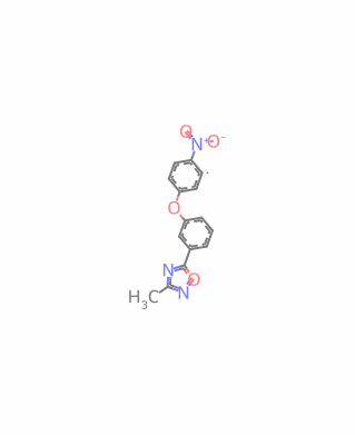 Cc1noc(-c2cccc(Oc3c[c]c([N+](=O)[O-])cc3)c2)n1